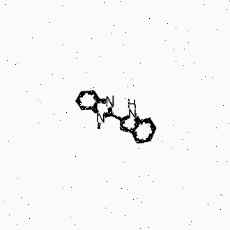 Cn1c(-c2cc3ccccc3[nH]2)nc2ccccc21